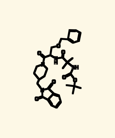 CC(C)(C)OC(=O)NC(C)(C)C(=O)NC(COCc1ccccc1)C(=O)N1CCC(CN2C(=O)c3ccccc3C2=O)CC1